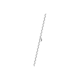 C=C.CCCCCCCCCCCCCCCCCCOCCCCCCCCCCCCCCCC